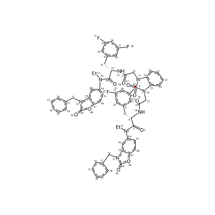 CCN(C(=O)[C@H](Cc1cc(F)cc(F)c1)NC(=O)CN1c2ccccc2N(CC(=O)N[C@@H](Cc2cc(F)cc(F)c2)C(=O)N(CC)c2ccc3oc(=O)n(Cc4ccccc4)c3c2)S1(=O)=O)c1ccc2oc(=O)n(Cc3ccccc3)c2c1